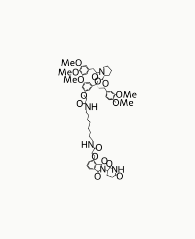 COc1ccc(CC[C@@H](OC(=O)[C@@H]2CCCCN2C(=O)Cc2cc(OC)c(OC)c(OC)c2)c2cccc(OCC(=O)NCCCCCCCCNC(=O)COc3cccc4c3C(=O)N(C3CCC(=O)NC3=O)C4=O)c2)cc1OC